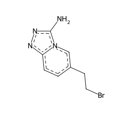 Nc1nnc2ccc(CCBr)cn12